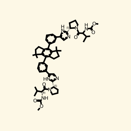 COC(=O)NC(C(=O)N1CCC[C@H]1c1ncc(-c2cccc(-c3c4c(c(-c5cccc(-c6cnc([C@@H]7CCCN7C(=O)[C@H](NC(=O)OC)C(C)C)[nH]6)c5)c5c3C(C)(C)CC5)C(C)(C)CC4)c2)[nH]1)C(C)C